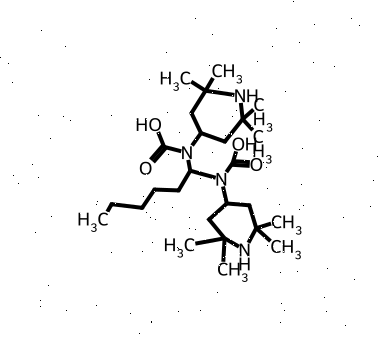 CCCCCC(N(C(=O)O)C1CC(C)(C)NC(C)(C)C1)N(C(=O)O)C1CC(C)(C)NC(C)(C)C1